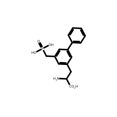 NC(Cc1cc(CP(=O)(O)O)cc(-c2ccccc2)c1)C(=O)O